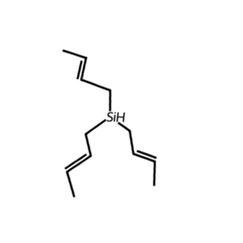 CC=CC[SiH](CC=CC)CC=CC